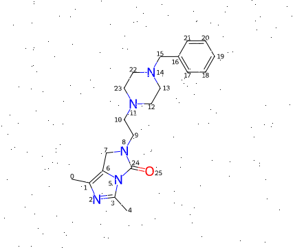 Cc1nc(C)n2c1CN(CCN1CCN(Cc3ccccc3)CC1)C2=O